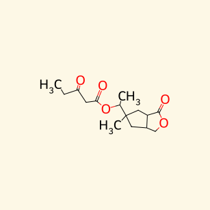 CCC(=O)CC(=O)OC(C)C1(C)CC2COC(=O)C2C1